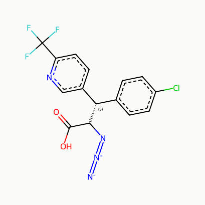 [N-]=[N+]=NC(C(=O)O)[C@@H](c1ccc(Cl)cc1)c1ccc(C(F)(F)F)nc1